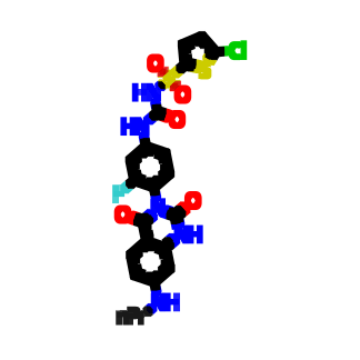 CCCNc1ccc2c(=O)n(-c3ccc(NC(=O)NS(=O)(=O)c4ccc(Cl)s4)cc3F)c(=O)[nH]c2c1